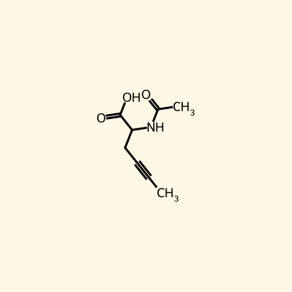 CC#CCC(NC(C)=O)C(=O)O